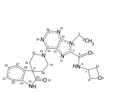 CCn1c(C(=O)NC2COC2)nc2c(N3CCC4(CC3)C(=O)Nc3ccccc34)ncnc21